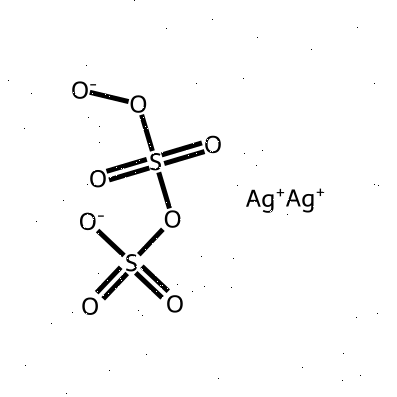 O=S(=O)([O-])OS(=O)(=O)O[O-].[Ag+].[Ag+]